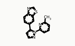 Cc1cccc(-n2n[c]cc2-c2ccc3ncsc3c2)n1